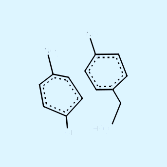 O=C(O)Cc1ccc([N+](=O)[O-])cc1.O=[N+]([O-])c1ccc(O)cc1